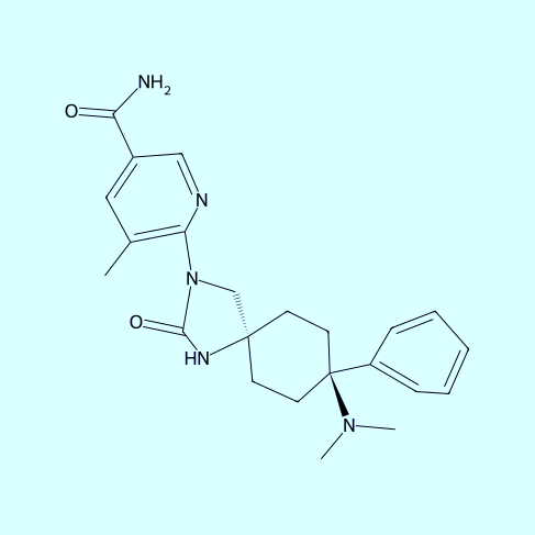 Cc1cc(C(N)=O)cnc1N1C[C@]2(CC[C@](c3ccccc3)(N(C)C)CC2)NC1=O